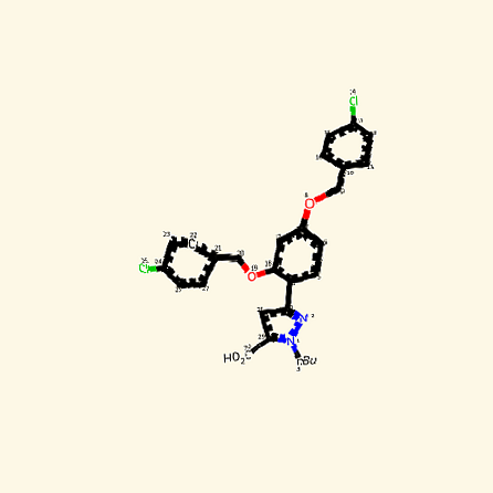 CCCCn1nc(-c2ccc(OCc3ccc(Cl)cc3)cc2OCc2ccc(Cl)cc2)cc1C(=O)O